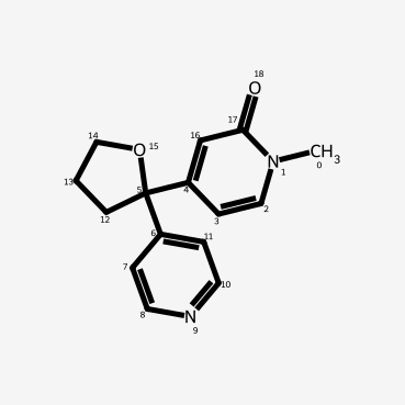 Cn1ccc(C2(c3ccncc3)CCCO2)cc1=O